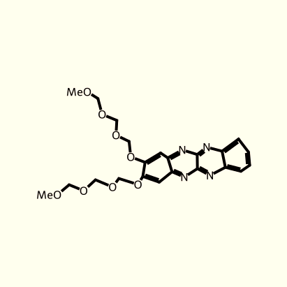 COCOCOCOc1cc2nc3nc4ccccc4nc3nc2cc1OCOCOCOC